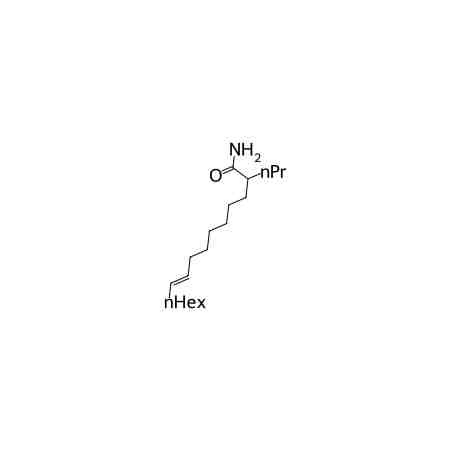 CCCCCCC=CCCCCCCC(CCC)C(N)=O